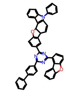 C1=CC2c3cc(-c4nc(-c5ccc(-c6ccccc6)cc5)nc(-c5cccc6oc7ccccc7c56)n4)ccc3OC2c2c1n(-c1ccccc1)c1ccccc21